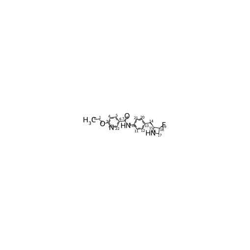 CCOc1ccc(C(=O)Nc2ccc(C[C@@H]3NC[C@@H]3F)cc2)cn1